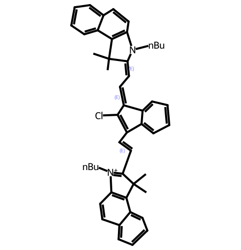 CCCCN1/C(=C/C=C2C(Cl)=C(/C=C/C3=[N+](CCCC)c4ccc5ccccc5c4C3(C)C)c3ccccc3/2)C(C)(C)c2c1ccc1ccccc21